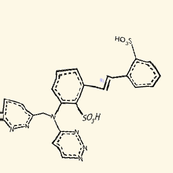 O=S(=O)(O)c1ccccc1/C=C/c1cccc(N(c2ccnnn2)c2ccnnn2)c1S(=O)(=O)O